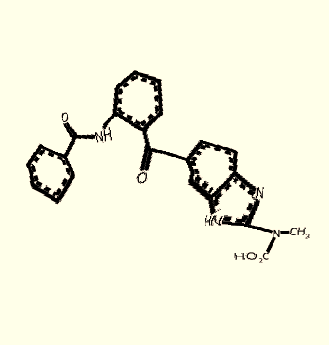 CN(C(=O)O)c1nc2ccc(C(=O)c3ccccc3NC(=O)c3ccccc3)cc2[nH]1